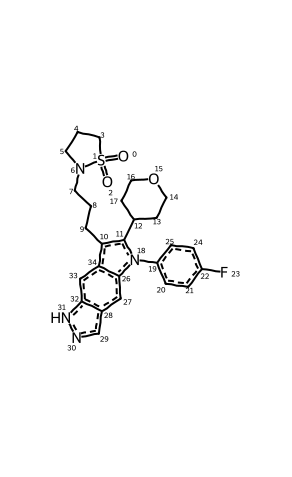 O=S1(=O)CCCN1CCCc1c(C2CCOCC2)n(-c2ccc(F)cc2)c2cc3cn[nH]c3cc12